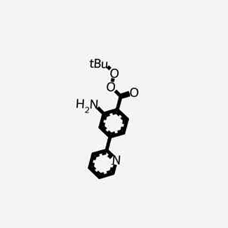 CC(C)(C)OOC(=O)c1ccc(-c2ccccn2)cc1N